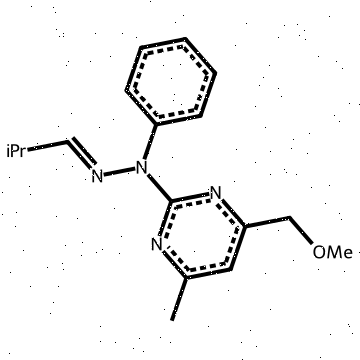 COCc1cc(C)nc(N(N=CC(C)C)c2ccccc2)n1